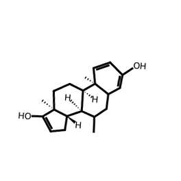 CC1CC2C=C(O)C=C[C@]2(C)[C@@H]2CC[C@]3(C)C(O)=CC[C@H]3[C@H]12